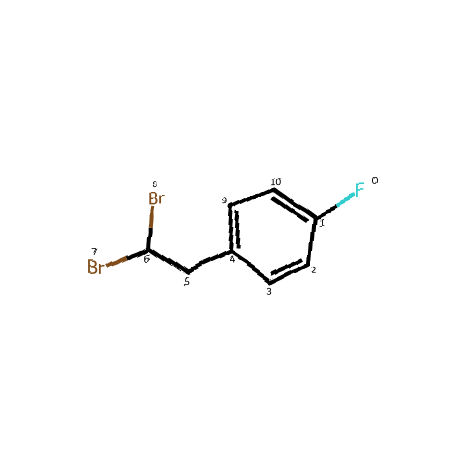 Fc1ccc(CC(Br)Br)cc1